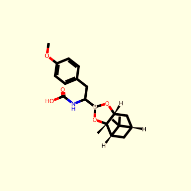 COc1ccc(CC(NC(=O)O)B2O[C@@H]3C[C@@H]4C[C@@H](C4(C)C)[C@]3(C)O2)cc1